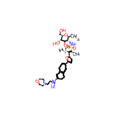 C/C(=C(/C#N)S(=O)(=O)N[C@H]1C(C)O[C@H](CO)[C@@H](O)[C@@H]1O)c1ccc(-c2ccc3cc(NCCN4CCOCC4)ccc3c2)o1